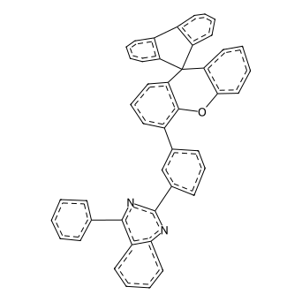 c1ccc(-c2nc(-c3cccc(-c4cccc5c4Oc4ccccc4C54c5ccccc5-c5ccccc54)c3)nc3ccccc23)cc1